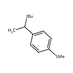 CSc1ccc(C(C)C(C)(C)C)cc1